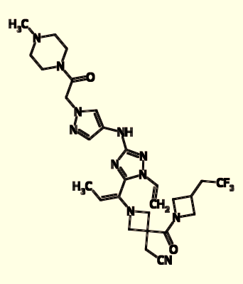 C=Cn1nc(Nc2cnn(CC(=O)N3CCN(C)CC3)c2)nc1/C(=C\C)N1CC(CC#N)(C(=O)N2CC(CC(F)(F)F)C2)C1